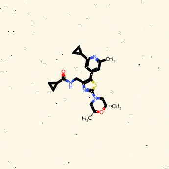 Cc1cc(-c2sc(N3C[C@@H](C)O[C@@H](C)C3)nc2CNC(=O)C2CC2)cc(C2CC2)n1